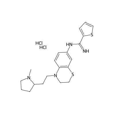 CN1CCCC1CCN1CCSc2cc(NC(=N)c3cccs3)ccc21.Cl.Cl